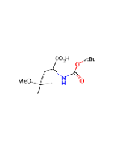 COC(C)(C)CC(NC(=O)OC(C)(C)C)C(=O)O